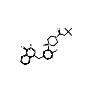 CC(C)(C)CC(=O)N1CCP(=O)(c2cc(Cc3n[nH]c(=O)c4ccccc34)ccc2F)CC1